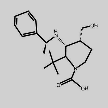 C[C@H](N[C@H]1C(C(C)(C)C)N(C(=O)O)CC[C@H]1CO)c1ccccc1